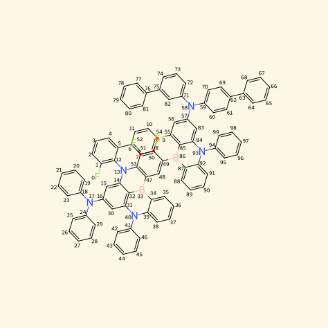 Fc1cccc(-c2ccccc2)c1N1c2cc(N(c3ccccc3)c3ccccc3)cc3c2B(c2ccccc2N3c2ccccc2)c2cc3c(c(F)c21)Sc1cc(N(c2ccc(-c4ccccc4)cc2)c2cccc(-c4ccccc4)c2)cc2c1B3c1ccccc1N2c1ccccc1